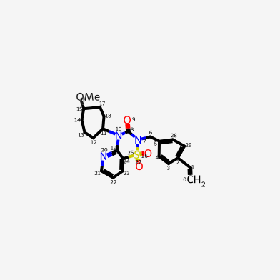 C=Cc1ccc(CN2C(=O)N(C3CCCC(OC)CC3)c3ncccc3S2(=O)=O)cc1